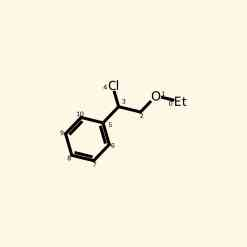 CCOCC(Cl)c1ccccc1